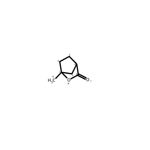 CC12CCC(C1)C(=O)O2